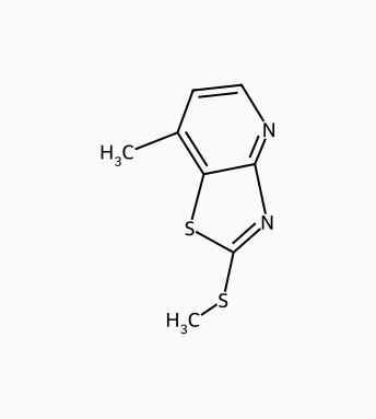 CSc1nc2nccc(C)c2s1